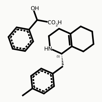 Cc1ccc(C[C@@H]2NCCC3=C2CCCC3)cc1.O=C(O)C(O)c1ccccc1